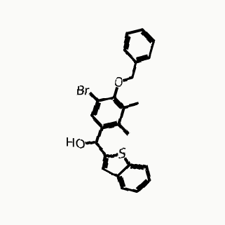 Cc1c(C(O)c2cc3ccccc3s2)cc(Br)c(OCc2ccccc2)c1C